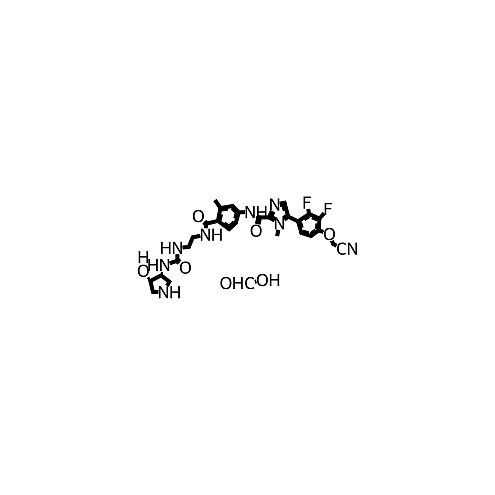 Cc1cc(NC(=O)c2ncc(-c3ccc(OCC#N)c(F)c3F)n2C)ccc1C(=O)NCCNC(=O)N[C@@H]1CNC[C@H]1O.O=CO